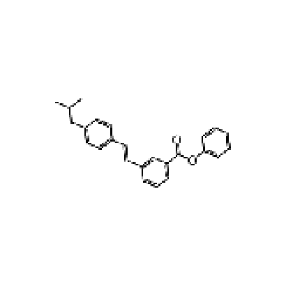 CC(C)Cc1ccc(C=Cc2cccc(C(=O)Oc3ccccc3)c2)cc1